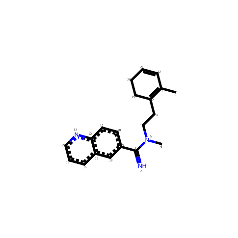 CC1=C(CCN(C)C(=N)c2ccc3ncccc3c2)CCC=C1